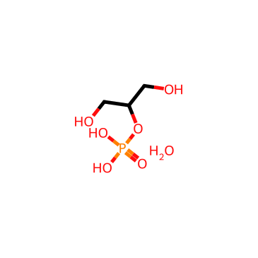 O.O=P(O)(O)OC(CO)CO